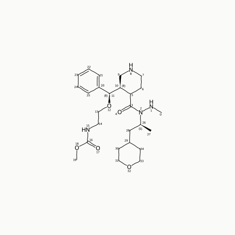 CNN(C(=O)C1CCNC[C@@H]1[C@@H](OCCNC(=O)OC)c1ccccc1)[C@@H](C)CC1CCOCC1